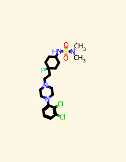 CN(C)S(=O)(=O)NC1CCC(F)(CCN2CCN(c3cccc(Cl)c3Cl)CC2)CC1